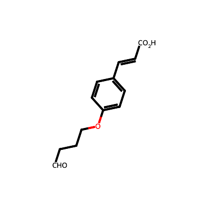 O=CCCCOc1ccc(C=CC(=O)O)cc1